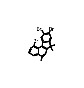 Cc1cc2c(c3c(Br)cccc13)-c1cc(Br)c(Br)cc1C2(C)C